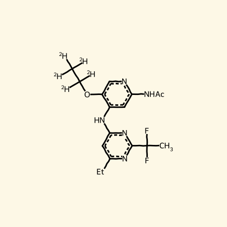 [2H]C([2H])([2H])C([2H])([2H])Oc1cnc(NC(C)=O)cc1Nc1cc(CC)nc(C(C)(F)F)n1